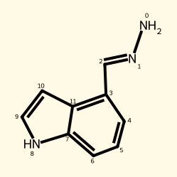 NN=Cc1cccc2[nH]ccc12